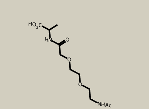 CC(=O)NCCOCCOCC(=O)NC(C)C(=O)O